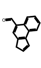 O=Cc1cc2c(c3ccccc13)C=CC2